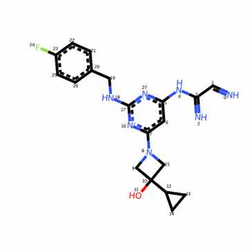 N=CC(=N)Nc1cc(N2CC(O)(C3CC3)C2)nc(NCc2ccc(F)cc2)n1